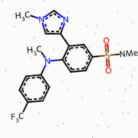 CNS(=O)(=O)c1ccc(N(C)c2ccc(C(F)(F)F)cc2)c(-c2cn(C)cn2)c1